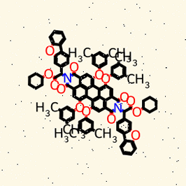 Cc1cc(C)cc(Oc2cc3c4c(cc(Oc5cc(C)cc(C)c5)c5c6c(Oc7cc(C)cc(C)c7)cc7c8c(cc(Oc9cc(C)cc(C)c9)c(c2c45)c86)C(=O)N(C(C(=O)OC2CCCCC2)c2ccc4c(c2)oc2ccccc24)C7=O)C(=O)N(C(C(=O)OC2CCCCC2)c2ccc4c(c2)oc2ccccc24)C3=O)c1